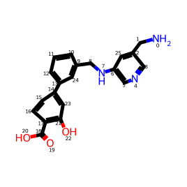 NCc1cncc(NCc2cccc(-c3ccc(C(=O)O)c(O)c3)c2)c1